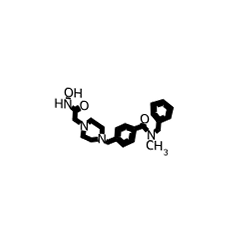 CN(Cc1ccccc1)C(=O)c1ccc(CN2CCN(CC(=O)NO)CC2)cc1